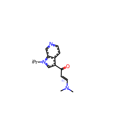 CC(C)n1cc(C(=O)/C=C/N(C)C)c2ccncc21